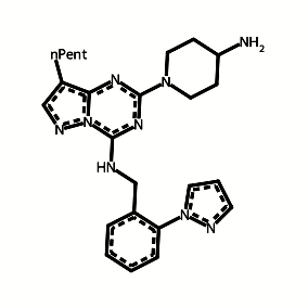 CCCCCc1cnn2c(NCc3ccccc3-n3cccn3)nc(N3CCC(N)CC3)nc12